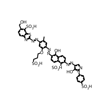 Cc1cc(N=Nc2ccc3c(S(=O)(=O)O)c(N=Nc4cnn(-c5ccc(S(=O)(=O)O)cc5)c4O)ccc3c2O)c(OCCCS(=O)(=O)O)cc1N=Nc1nc2ccc(CO)c(S(=O)(=O)O)c2s1